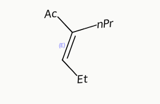 CC/C=C(\CCC)C(C)=O